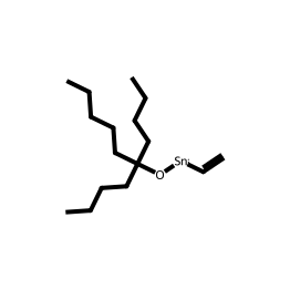 C=[CH][Sn][O]C(CCCC)(CCCC)CCCCC